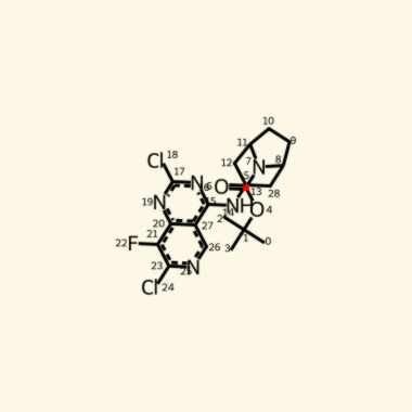 CC(C)(C)OC(=O)N1C2CCC1CC(Nc1nc(Cl)nc3c(F)c(Cl)ncc13)C2